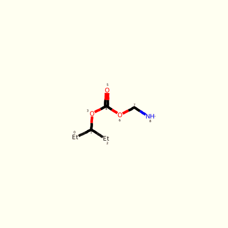 CCC(CC)OC(=O)OC[NH]